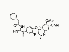 COC1=CC2=NC(C)CC(OC3=CCC(NC(=N)NC(=O)Cc4ccccc4)C=C3F)C2(C)C=C1OC